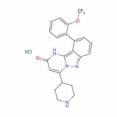 Cl.O=c1cc(C2CCNCC2)n2nc3cccc(-c4ccccc4OC(F)(F)F)c3c2[nH]1